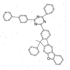 CC1(c2ccccc2)c2cc(-c3nc(-c4ccccc4)nc(-c4ccc(-c5ccccc5)cc4)n3)ccc2-c2cc3c(cc21)oc1ccccc13